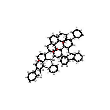 c1ccc(-c2ccc(-c3ccc(N(c4ccccc4-c4ccc5c(ccc6ccccc65)c4)c4ccccc4-c4cccc5c4oc4ccccc45)cc3)c(-n3c4ccccc4c4ccccc43)c2)cc1